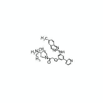 Cc1ccc2nc(Nc3cc(OCC(=O)N4CCC(C(C)(C)N)CC4)cc(-c4cccnc4)c3)ncc2c1